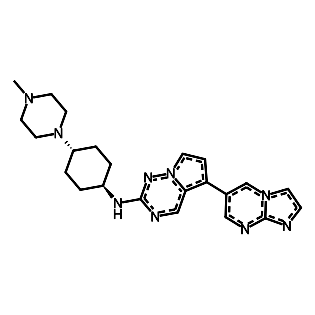 CN1CCN([C@H]2CC[C@H](Nc3ncc4c(-c5cnc6nccn6c5)ccn4n3)CC2)CC1